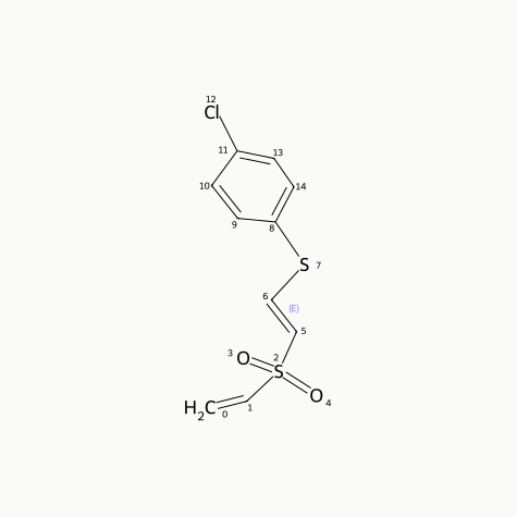 C=CS(=O)(=O)/C=C/Sc1ccc(Cl)cc1